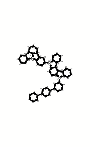 c1ccc(-c2ccc(-c3cccc(-n4c5ccccc5c5c6c7ccccc7n(-c7ccc8c(c7)c7cccc9c%10ccccc%10n8c97)c6ccc54)c3)cc2)cc1